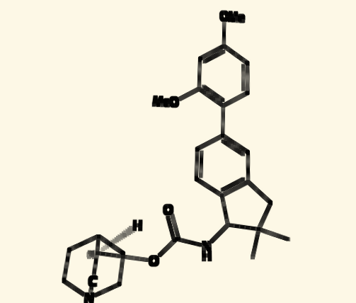 COc1ccc(-c2ccc3c(c2)CC(C)(C)C3NC(=O)O[C@H]2CN3CCC2CC3)c(OC)c1